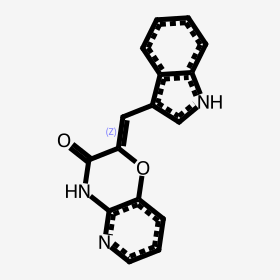 O=C1Nc2ncccc2O/C1=C\c1c[nH]c2ccccc12